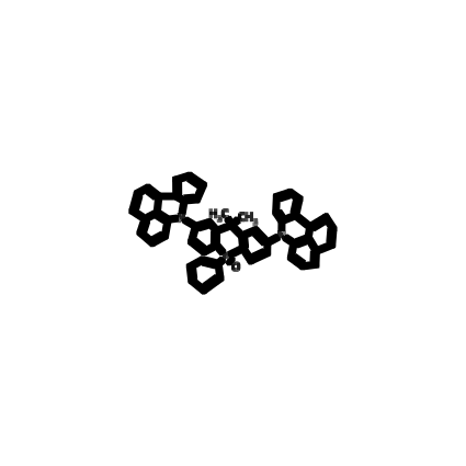 CC1(C)c2cc(N3c4ccccc4-c4cccc5cccc3c45)ccc2P(=O)(c2ccccc2)c2ccc(N3c4ccccc4-c4cccc5cccc3c45)cc21